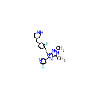 Cc1nc(C)c2nc(-c3cncc(F)c3)n(CCC3=C(F)CC(CC4CCNCC4)C=C3)c2n1